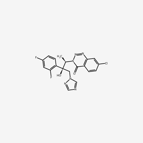 C[C@@H](n1nnc2cc(Cl)ccc2c1=O)[C@](O)(Cn1cncn1)c1ccc(F)cc1F